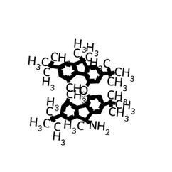 Cc1cc(C(C)(C)C)cc2c1-c1c(Oc3cc(C(C)(C)C)cc4c3-c3c(C)cc(C(C)(C)C)cc3C4(C)N)cc(C(C)(C)C)cc1C2(C)C